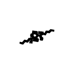 CC/C=C/CNC(=O)[C@H](O)[C@@H](O)C(=O)NC/C=C/CC